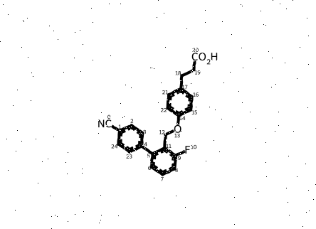 N#Cc1ccc(-c2cccc(F)c2COc2ccc(CCC(=O)O)cc2)cc1